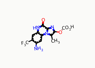 Cc1c(OC(=O)O)nc2c(=O)[nH]c3cc(C(F)(F)F)c(N)cc3n12